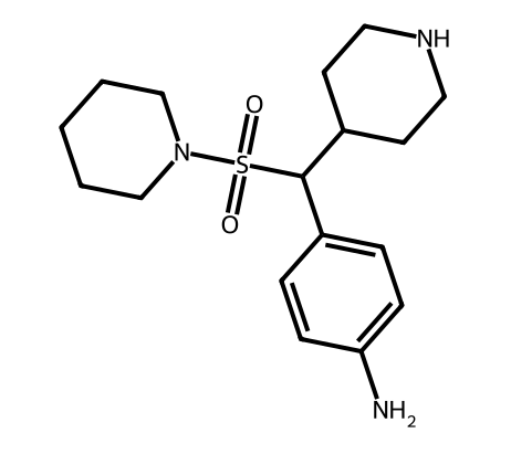 Nc1ccc(C(C2CCNCC2)S(=O)(=O)N2CCCCC2)cc1